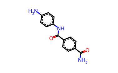 NC(=O)c1ccc(C(=O)Nc2ccc(N)cc2)cc1